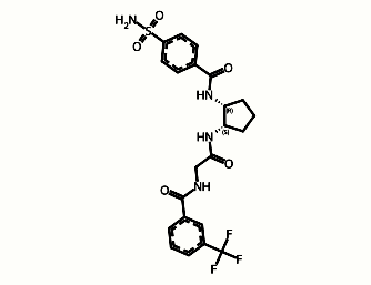 NS(=O)(=O)c1ccc(C(=O)N[C@@H]2CCC[C@@H]2NC(=O)CNC(=O)c2cccc(C(F)(F)F)c2)cc1